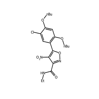 CCCCOc1cc(OCCCC)c(-c2onc(C(=O)NCC)c2[N+](=O)[O-])cc1Cl